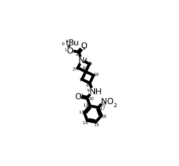 CC(C)(C)OC(=O)N1CC2(CC(NC(=O)c3ccccc3[N+](=O)[O-])C2)C1